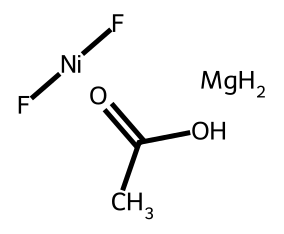 CC(=O)O.[F][Ni][F].[MgH2]